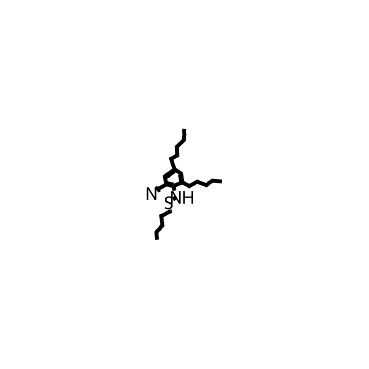 CCCCCSNc1c(C#N)cc(CCCCC)cc1CCCCC